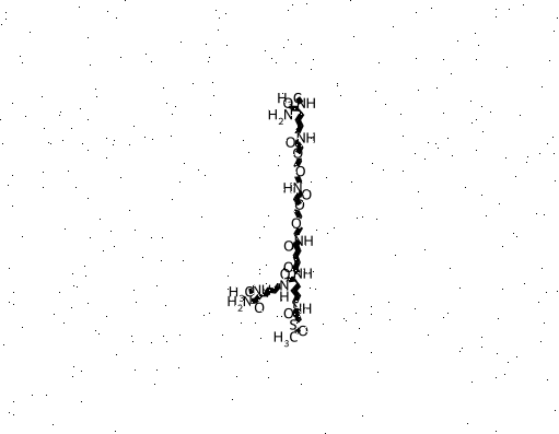 CN[C@@H](CCCCNC(=O)COCCOCCNC(=O)COCCOCCNC(=O)CCCC(=O)N[C@@H](CCCCNC(=O)CSC(C)=O)C(=O)NCCCC[C@H](NC)C(N)=O)C(N)=O